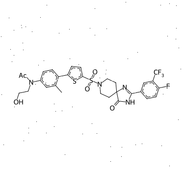 CC(=O)N(CCO)c1ccc(-c2ccc(S(=O)(=O)N3CCC4(CC3)N=C(c3ccc(F)c(C(F)(F)F)c3)NC4=O)s2)c(C)c1